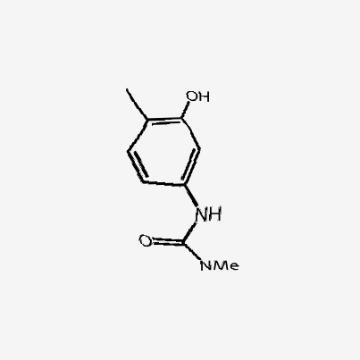 CNC(=O)Nc1ccc(C)c(O)c1